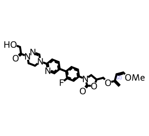 C=C(/C=C\OC)OCC1CN(c2ccc(-c3ccc(N4C=NN(C(=O)CO)CC4)nc3)c(F)c2)C(=O)O1